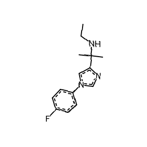 CCNC(C)(C)c1cn(-c2ccc(F)cc2)cn1